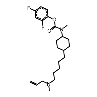 C=CCN(C)CCCCCC1CCC(N(C)C(=O)Oc2ccc(F)cc2F)CC1